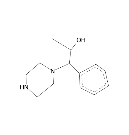 CC(O)C(c1ccccc1)N1CCNCC1